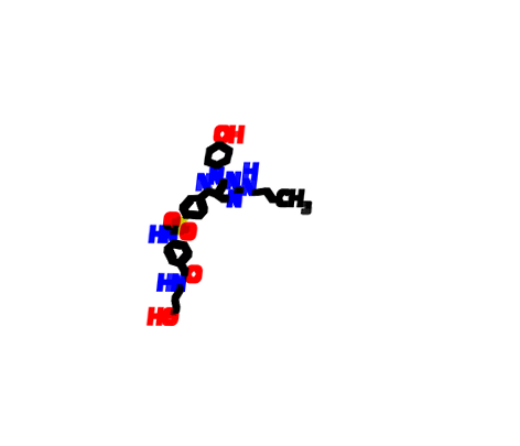 CCCCNc1ncc2c(-c3ccc(S(=O)(=O)Nc4ccc(C(=O)NCCCO)cc4)cc3)nn(C3CCC(O)CC3)c2n1